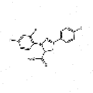 COC(=O)C1CC(c2ccc(Cl)cc2)=NN1c1ccc(F)cc1F